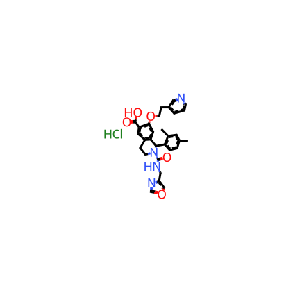 Cc1ccc(C2c3cc(OCCc4cccnc4)c(C(=O)O)cc3CCN2C(=O)NCc2cocn2)c(C)c1.Cl